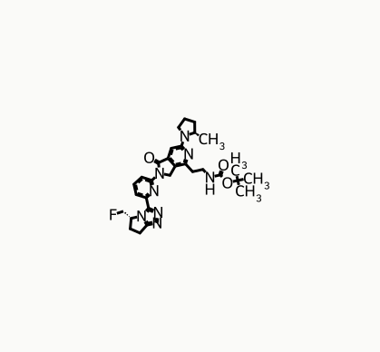 C[C@@H]1CCCN1c1cc2c(c(CCNC(=O)OC(C)(C)C)n1)CN(c1cccc(-c3nnc4n3[C@@H](CF)CC4)n1)C2=O